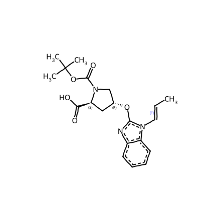 C/C=C/n1c(O[C@@H]2C[C@@H](C(=O)O)N(C(=O)OC(C)(C)C)C2)nc2ccccc21